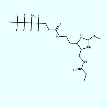 CCC(=O)NCC1NC(OC)NC1CCNC(=O)CCC(F)(F)C(F)(P)C(F)(F)C(F)(F)F